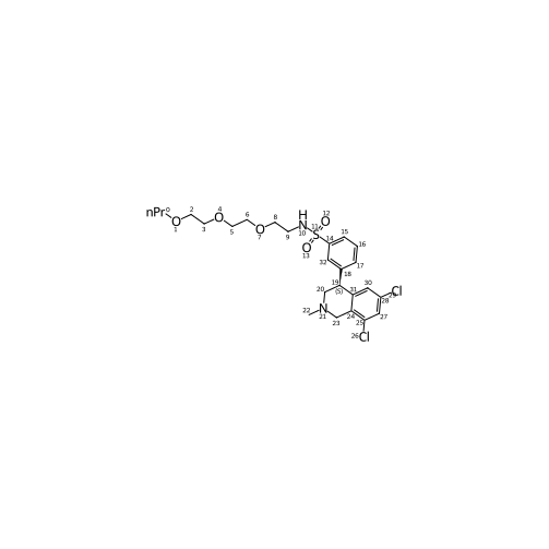 CCCOCCOCCOCCNS(=O)(=O)c1cccc([C@@H]2CN(C)Cc3c(Cl)cc(Cl)cc32)c1